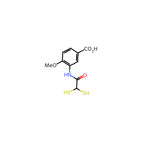 COc1ccc(C(=O)O)cc1NC(=O)C(S)S